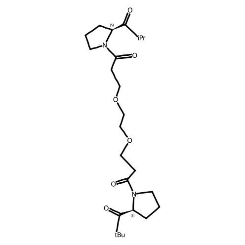 CC(C)C(=O)[C@@H]1CCCN1C(=O)CCOCCOCCC(=O)N1CCC[C@H]1C(=O)C(C)(C)C